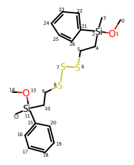 CO[Si](C)(CCSSSCC[Si](C)(OC)c1ccccc1)c1ccccc1